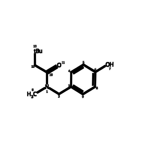 CN(Cc1ccc(O)cc1)C(=O)CC(C)(C)C